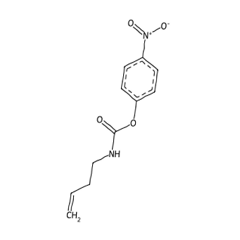 C=CCCNC(=O)Oc1ccc([N+](=O)[O-])cc1